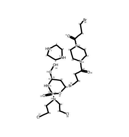 C1CNCCN1.O=C(CCBr)N1CCN(C(=O)CCBr)CC1.O=[P@@]1(N(CCCl)CCCl)N[C@@H](OO)CCO1